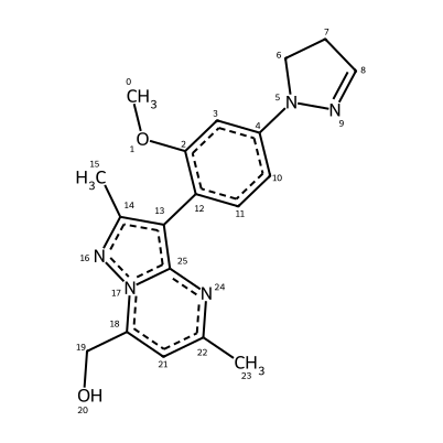 COc1cc(N2CCC=N2)ccc1-c1c(C)nn2c(CO)cc(C)nc12